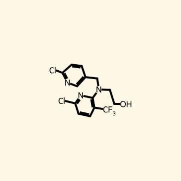 OCCN(Cc1ccc(Cl)nc1)c1nc(Cl)ccc1C(F)(F)F